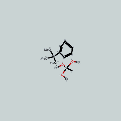 CCO[Si](C)(OCC)OCC.CO[Si](OC)(OC)c1ccccc1